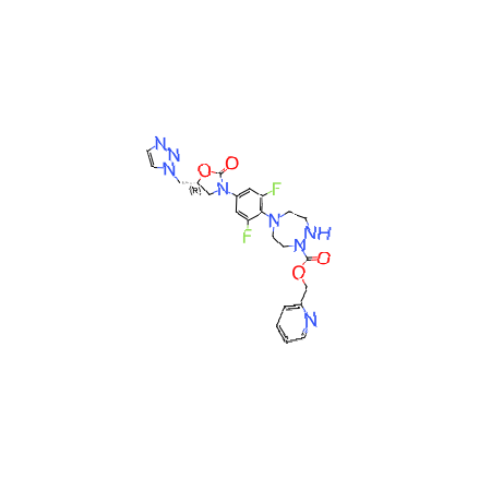 O=C(OCc1ccccn1)N1CCN(c2c(F)cc(N3C[C@H](Cn4ccnn4)OC3=O)cc2F)CCN1